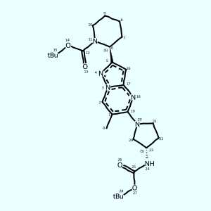 Cc1cn2nc([C@@H]3CCCCN3C(=O)OC(C)(C)C)cc2nc1N1CC[C@H](NC(=O)OC(C)(C)C)C1